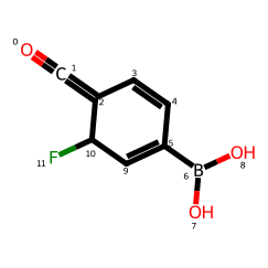 O=C=C1C=CC(B(O)O)=CC1F